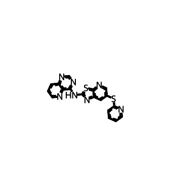 c1ccc(Sc2cnc3sc(Nc4ncnc5cccnc45)nc3c2)nc1